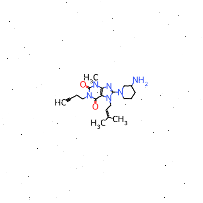 C#CCCn1c(=O)c2c(nc(N3CCCC(N)C3)n2CC=C(C)C)n(C)c1=O